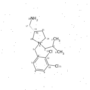 CC(C)C[N+]1(Cc2cccc(Cl)c2Cl)CC[C@@H](CN)C1